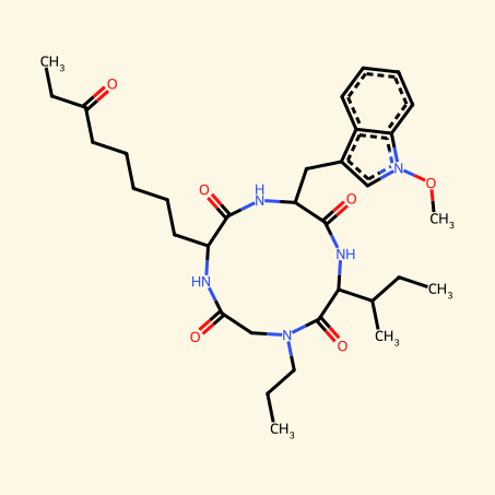 CCCN1CC(=O)NC(CCCCCC(=O)CC)C(=O)NC(Cc2cn(OC)c3ccccc23)C(=O)NC(C(C)CC)C1=O